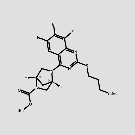 CCCCCCCCCCCCCSc1nc(N2C[C@@H]3C[C@H]2CN3C(=O)OC(C)(C)C)c2cc(I)c(Br)c(F)c2n1